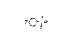 C[N+](C)(C)c1ccc(S(=O)(=O)O)cc1